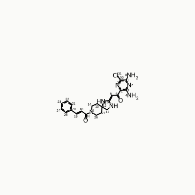 Nc1nc(N)c(C(=O)/C=C2\NCC3(CCN(C(=O)/C=C/c4ccccc4)CC3)N2)nc1Cl